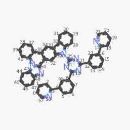 c1ccc(-c2cccc(-c3nc(-c4cccc(-c5ccccn5)c4)nc(-n4c5ccccc5c5cc6c7ccccc7n7c8ccccc8nc7c6cc54)n3)c2)nc1